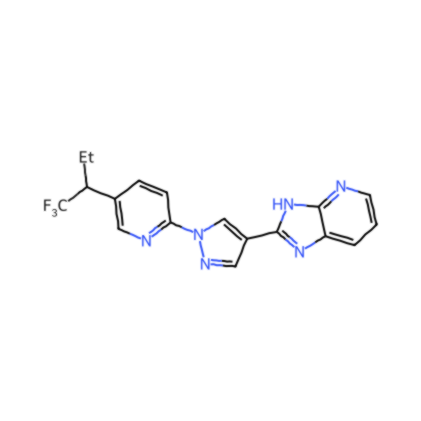 CCC(c1ccc(-n2cc(-c3nc4cccnc4[nH]3)cn2)nc1)C(F)(F)F